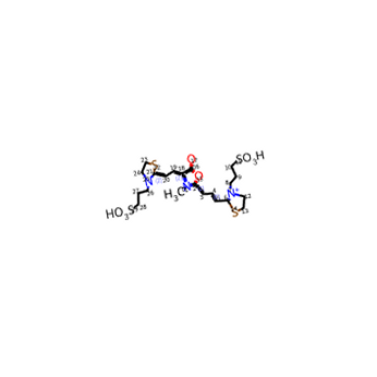 Cn1/c(=C/C=C/C2=[N+](CCCS(=O)(=O)O)CCS2)oc(=O)/c1=C/C=C1\SCCN1CCCS(=O)(=O)O